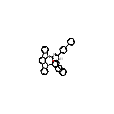 c1ccc(-c2ccc(C3=NC(n4c5ccccc5c5ccc6c7ccccc7n(-c7cccc(-c8ccccc8)c7)c6c54)=NC(c4ccccc4)N3)cc2)cc1